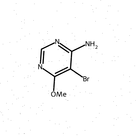 COc1ncnc(N)c1Br